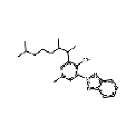 Cc1cc(C(C)C(C)CCCC(C)C)c(O)c(-n2nc3ccccc3n2)c1